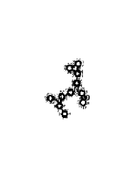 c1ccc(-c2ccc3c(c2)c2cc(-c4ccc(N(c5ccc(-c6ccc7c8ccccc8c8ccccc8c7c6)cc5)c5ccc6oc7ccccc7c6c5)cc4)ccc2n3-c2ccccc2)cc1